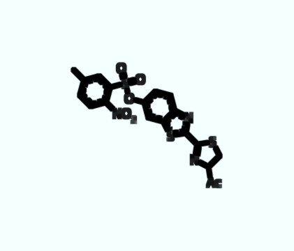 CC(=O)C1CSC(c2nc3ccc(OS(=O)(=O)c4cc(C)ccc4[N+](=O)[O-])cc3s2)=N1